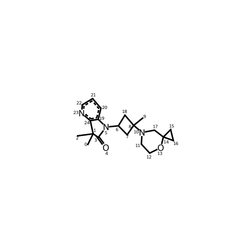 CC1(C)C(=O)N(C2CC(C)(N3CCOC4(CC4)C3)C2)c2cccnc21